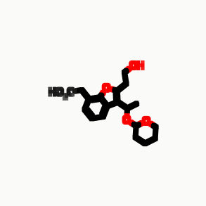 CC(OC1CCCCO1)c1c(CCO)oc2c(CC(=O)O)cccc12